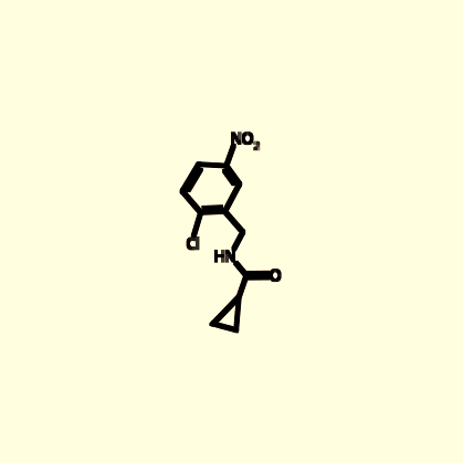 O=C(NCc1cc([N+](=O)[O-])ccc1Cl)C1CC1